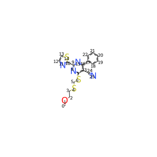 COCCSCSc1nc(-c2nccs2)nc(-c2ccccc2)c1C#N